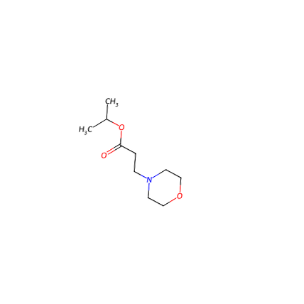 CC(C)OC(=O)CCN1CCOCC1